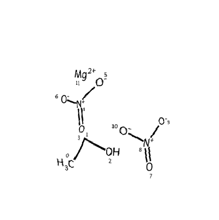 CCO.O=[N+]([O-])[O-].O=[N+]([O-])[O-].[Mg+2]